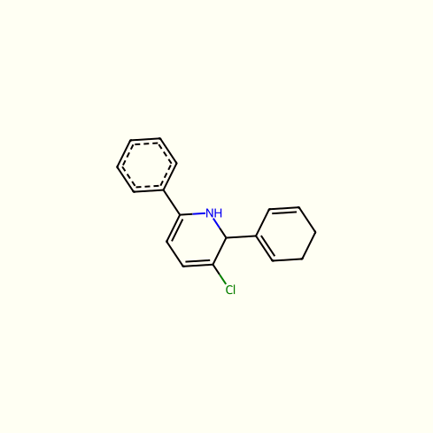 ClC1=CC=C(c2ccccc2)NC1C1=CCCC=C1